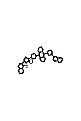 c1cc(-c2ccc3ccccc3c2)cc(-c2c3ccccc3c(-c3ccc4c(c3)oc3c4ccc4c5ccc6ccccc6c5sc43)c3ccccc23)c1